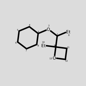 CCC(OC1CCCCC1)C1(CC)CCO1